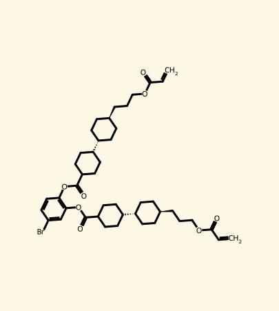 C=CC(=O)OCCC[C@H]1CC[C@H](C2CCC(C(=O)Oc3ccc(Br)cc3OC(=O)C3CCC([C@H]4CC[C@H](CCCOC(=O)C=C)CC4)CC3)CC2)CC1